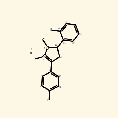 Cc1ccc(C2=[N+](C)N(C)C(c3ccccc3C)C2)cc1.[I-]